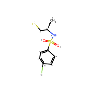 C[C@H](CS)NS(=O)(=O)c1ccc(F)cc1